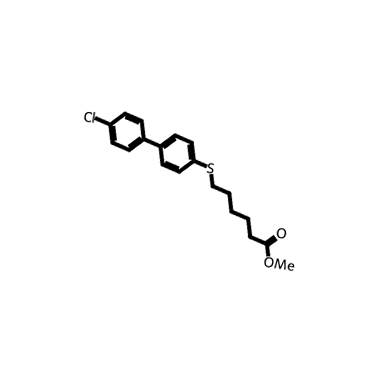 COC(=O)CCCCCSc1ccc(-c2ccc(Cl)cc2)cc1